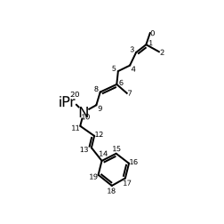 CC(C)=CCC/C(C)=C/CN(C/C=C/c1ccccc1)C(C)C